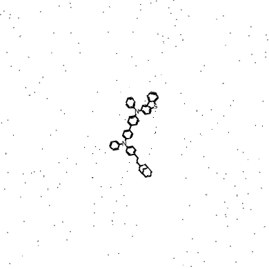 c1ccc(N(c2ccc(CCC3CC4CCCC(C4)C3)cc2)c2ccc(-c3ccc(N(c4ccccc4)c4ccc5sc6ccccc6c5c4)cc3)cc2)cc1